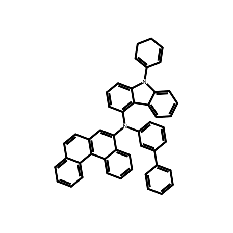 C1=CC(n2c3ccccc3c3c(N(c4cccc(-c5ccccc5)c4)c4cc5ccc6ccccc6c5c5ccccc45)cccc32)=CCC1